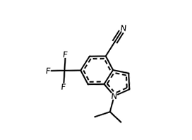 CC(C)n1ccc2c(C#N)cc(C(F)(F)F)cc21